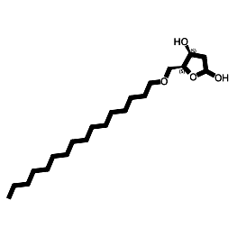 CCCCCCCCCCCCCCCCOC[C@@H]1OC(O)C[C@@H]1O